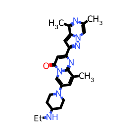 CCNC1CCN(c2cc(C)c3nc(-c4cc5c(C)nc(C)cn5n4)cc(=O)n3c2)CC1